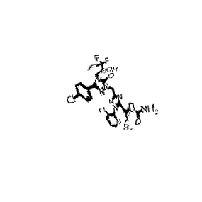 C[C@H](OC(N)=O)c1nc(Cn2nc(-c3ccc(Cl)cc3)n(C[C@H](O)C(F)(F)F)c2=O)nn1-c1ncccc1Cl